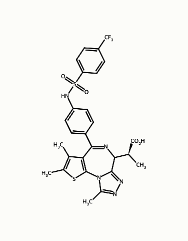 Cc1sc2c(c1C)C(c1ccc(NS(=O)(=O)c3ccc(C(F)(F)F)cc3)cc1)=NC([C@H](C)C(=O)O)c1nnc(C)n1-2